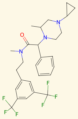 CC1CN(C2CC2)CCN1C(C(=O)N(C)CCc1cc(C(F)(F)F)cc(C(F)(F)F)c1)c1ccccc1